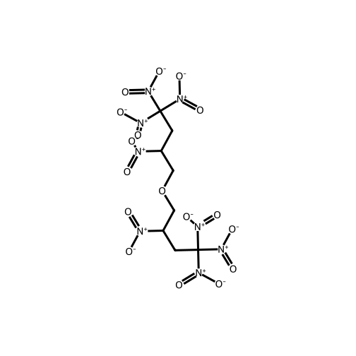 O=[N+]([O-])C(COCC(CC([N+](=O)[O-])([N+](=O)[O-])[N+](=O)[O-])[N+](=O)[O-])CC([N+](=O)[O-])([N+](=O)[O-])[N+](=O)[O-]